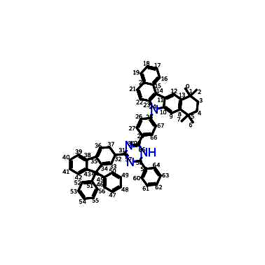 CC1(C)CCC(C)(C)c2cc3c(cc21)c1c2ccccc2ccc1n3-c1ccc(C2=NC(C3C=C4C(=CC3)c3ccccc3C4(c3ccccc3)c3ccccc3)=NC(c3ccccc3)N2)cc1